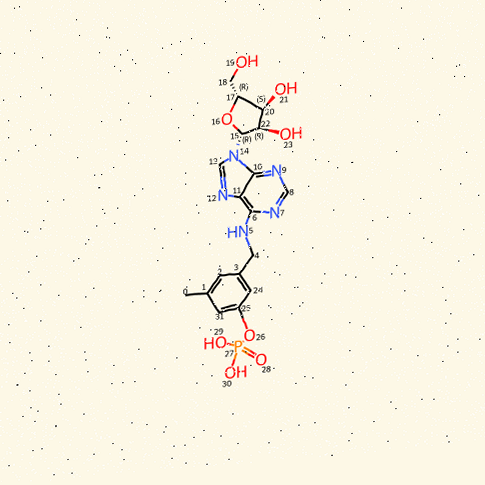 Cc1cc(CNc2ncnc3c2ncn3[C@@H]2O[C@H](CO)[C@@H](O)[C@H]2O)cc(OP(=O)(O)O)c1